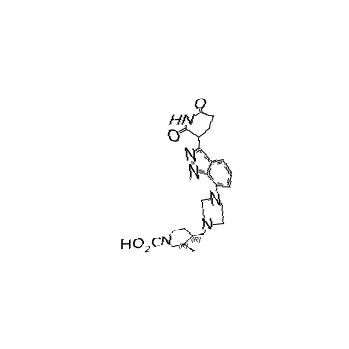 C[C@H]1CN(C(=O)O)CC[C@H]1CN1CCN(c2cccc3c(C4CCC(=O)NC4=O)nn(C)c23)CC1